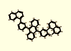 c1cc(-c2cccc3ccccc23)cc(-c2c3ccccc3c(-c3ccc4c(c3)-c3cccc5cccc(c35)S4)c3ccccc23)c1